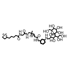 CCCC(C)(CCC(=O)Nc1cccc(NCC(O)C(O)C(C(O)CO)C2OC(CO)C(O)C(O)C2O)c1)CNC(=O)CNC(=O)CCCCC1CCSS1